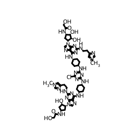 Cn1cnc(CCNc2nc(N[C@H]3CC[C@H](Nc4nc(Cl)nc(N[C@H]5CC[C@H](Nc6nc(NCCc7cn(C)cn7)nc7c6ncn7[C@@H]6C[C@H](NC(=O)CO)C[C@H]6O)CC5)n4)CC3)c3ncn([C@@H]4C[C@H](NC(=O)CO)[C@@H](O)[C@H]4O)c3n2)c1